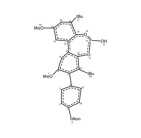 CCCCCCCCCc1ccc(-c2c(OC)cc3c(op(O)oc4c(C(C)(C)C)cc(OC)cc43)c2C(C)(C)C)cc1